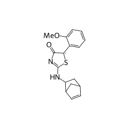 COc1ccccc1[C]1SC(NC2CC3C=CC2C3)=NC1=O